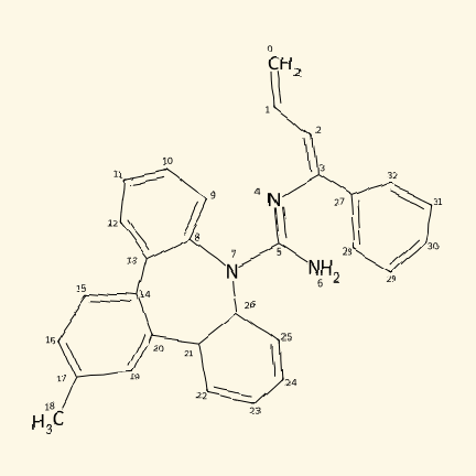 C=C/C=C(\N=C(/N)N1c2ccccc2-c2ccc(C)cc2C2C=CC=CC21)c1ccccc1